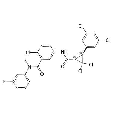 CN(C(=O)c1cc(NC(=O)[C@@H]2[C@@H](c3cc(Cl)cc(Cl)c3)C2(Cl)Cl)ccc1Cl)c1cccc(F)c1